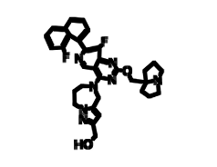 OCc1cc2n(n1)CCCN(c1nc(OCC34CCCN3CCC4)nc3c(F)c(-c4cccc5cccc(F)c45)ncc13)C2